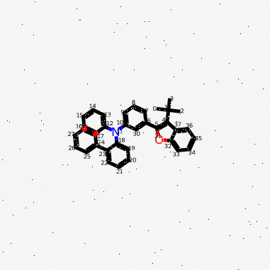 CC(C)(C)c1c(-c2cccc(N(c3ccccc3)c3ccccc3-c3ccccc3)c2)oc2ccccc12